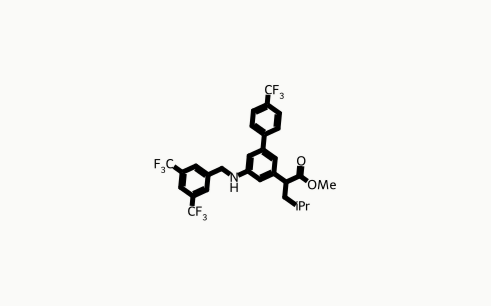 COC(=O)C(CC(C)C)c1cc(NCc2cc(C(F)(F)F)cc(C(F)(F)F)c2)cc(-c2ccc(C(F)(F)F)cc2)c1